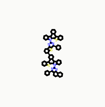 c1ccc(-c2nc(-n3c4ccccc4c4c5ccc(-c6cccc7c6sc6c(-c8ccccc8)nc(-n8c9ccccc9c9c%10ccccc%10c%10c%11ccccc%11sc%10c98)nc67)cc5c5c6ccccc6sc5c43)nc3c2ccc2ccccc23)cc1